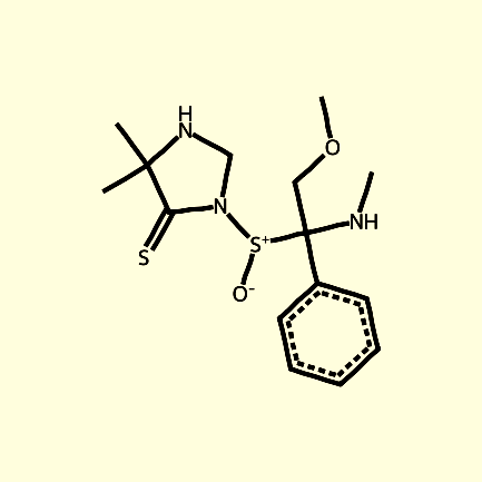 CNC(COC)(c1ccccc1)[S+]([O-])N1CNC(C)(C)C1=S